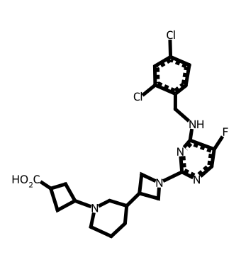 O=C(O)C1CC(N2CCCC(C3CN(c4ncc(F)c(NCc5ccc(Cl)cc5Cl)n4)C3)C2)C1